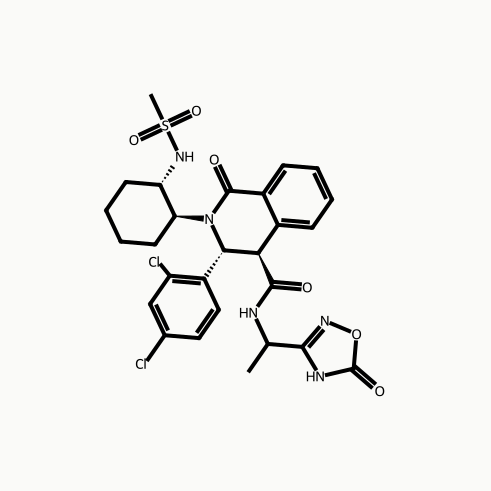 CC(NC(=O)[C@@H]1c2ccccc2C(=O)N([C@H]2CCCC[C@@H]2NS(C)(=O)=O)[C@H]1c1ccc(Cl)cc1Cl)c1noc(=O)[nH]1